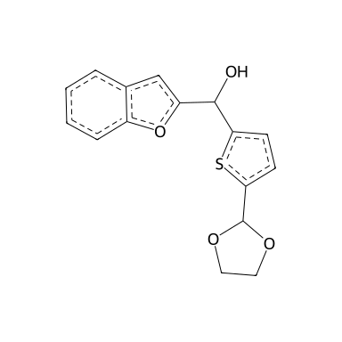 OC(c1cc2ccccc2o1)c1ccc(C2OCCO2)s1